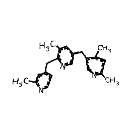 Cc1cc(Cc2ncc(Cc3cnc(C)cc3C)cc2C)ccn1